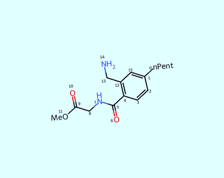 CCCCCc1ccc(C(=O)NCC(=O)OC)c(CN)c1